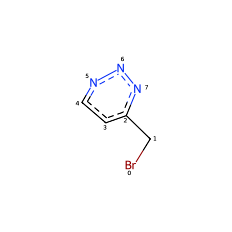 BrCc1ccnnn1